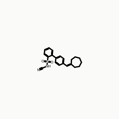 N#CNS(=O)(=O)c1ccccc1-c1ccc(C=C2CCCCCC2)cc1